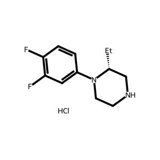 CC[C@@H]1CNCCN1c1ccc(F)c(F)c1.Cl